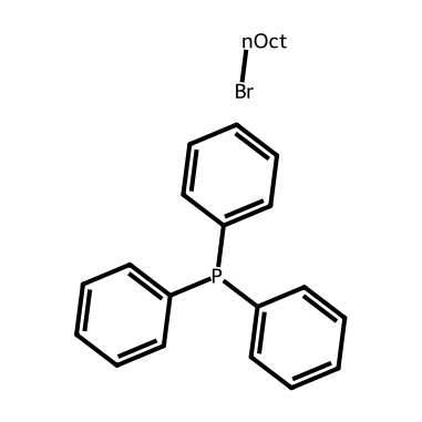 CCCCCCCCBr.c1ccc(P(c2ccccc2)c2ccccc2)cc1